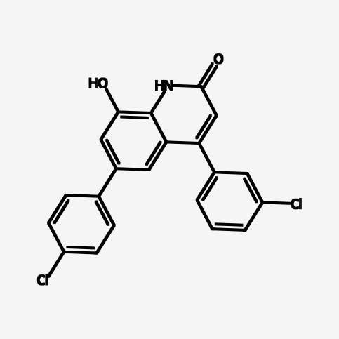 O=c1cc(-c2cccc(Cl)c2)c2cc(-c3ccc(Cl)cc3)cc(O)c2[nH]1